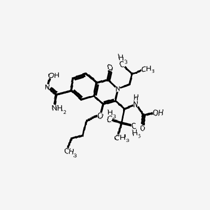 CCCCOc1c(C(NC(=O)O)C(C)(C)C)n(CC(C)C)c(=O)c2ccc(/C(N)=N\O)cc12